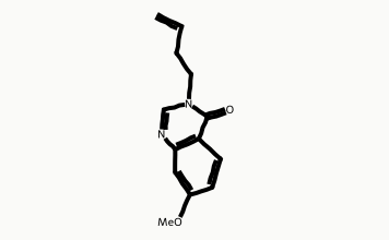 C=CCCn1cnc2cc(OC)ccc2c1=O